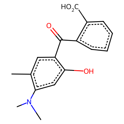 Cc1cc(C(=O)c2ccccc2C(=O)O)c(O)cc1N(C)C